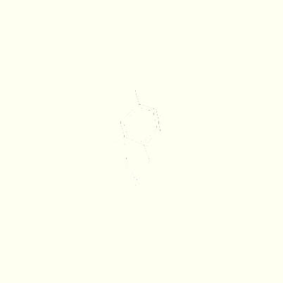 Cc1ccc(C[N+](C)(C)C)c(Cl)c1.[Cl-]